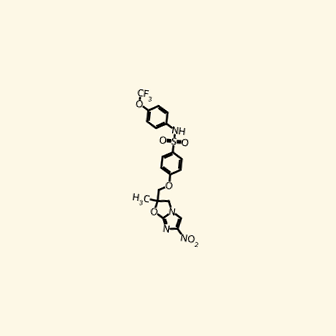 CC1(COc2ccc(S(=O)(=O)Nc3ccc(OC(F)(F)F)cc3)cc2)Cn2cc([N+](=O)[O-])nc2O1